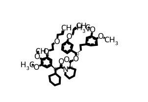 C=CCOCCOc1cc([C@@H](C(=O)N2CCCC[C@@H]2C(=O)O[C@@H](CCc2ccc(OC)c(OC)c2)c2cccc(OCC=C)c2)C2CCCCC2)cc(OC)c1OC